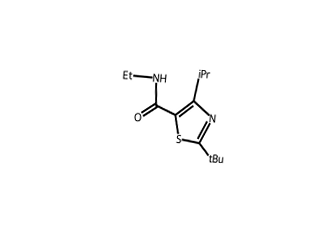 CCNC(=O)c1sc(C(C)(C)C)nc1C(C)C